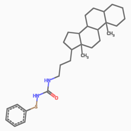 CC12CCCCC1CCC1C2CCC2(C)C(CCCNC(=O)NSc3ccccc3)CCC12